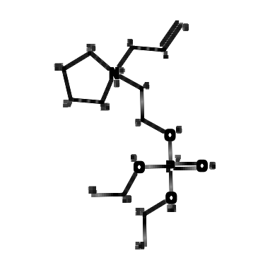 C=CC[N+]1(CCOP(=O)(OCC)OCC)CCCC1